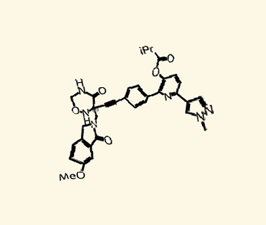 COc1ccc2c(c1)C(=O)N(C[C@@]1(C#Cc3ccc(-c4nc(-c5cnn(C)c5)ccc4OC(=O)C(C)C)cc3)NOCNC1=O)C2